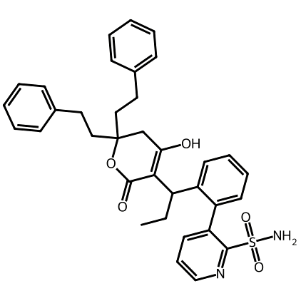 CCC(C1=C(O)CC(CCc2ccccc2)(CCc2ccccc2)OC1=O)c1ccccc1-c1cccnc1S(N)(=O)=O